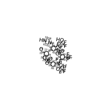 O=C(O)C(F)(F)F.O=C(O)C(F)(F)F.O=Cc1cccc2c1ccn2S(=O)(=O)c1cccc(C(F)(F)F)c1.O=S(=O)(c1cccc(C(F)(F)F)c1)n1ccc2c(CN3CCNCC3)cccc21